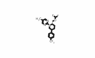 Cc1cnc(N2CC(c3ccc(C(F)(F)F)cc3)CC[C@H]2COC(F)F)nc1